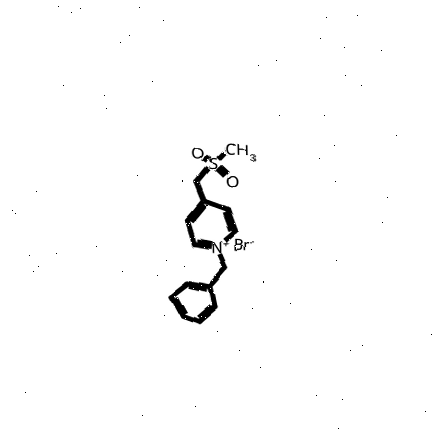 CS(=O)(=O)Cc1cc[n+](Cc2ccccc2)cc1.[Br-]